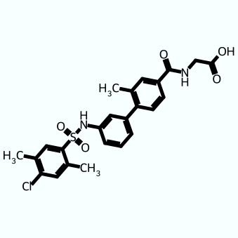 Cc1cc(S(=O)(=O)Nc2cccc(-c3ccc(C(=O)NCC(=O)O)cc3C)c2)c(C)cc1Cl